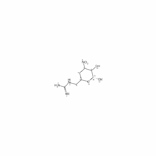 N=C(N)NCC1CC([N+](=O)[O-])C(O)[C@H](O)O1